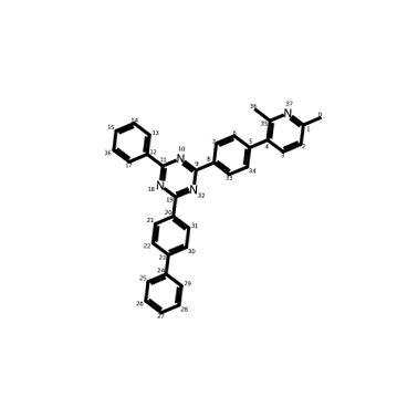 Cc1ccc(-c2ccc(-c3nc(-c4ccccc4)nc(-c4ccc(-c5ccccc5)cc4)n3)cc2)c(C)n1